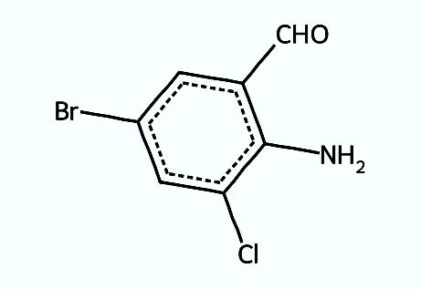 Nc1c(Cl)cc(Br)cc1C=O